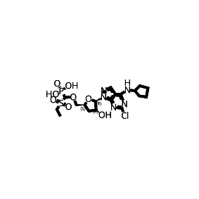 CCS(=O)(=O)C(OC[C@@H]1C[C@@H](O)[C@H](n2ncc3c(NC4CCCC4)nc(Cl)nc32)O1)P(=O)(O)O